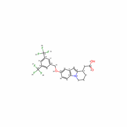 O=C(O)CC1CCCn2c1cc1cc(OCc3cc(C(F)(F)F)cc(C(F)(F)F)c3)ccc12